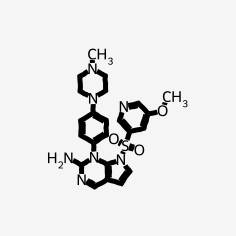 COc1cncc(S(=O)(=O)n2ccc3c2N(c2ccc(N4CCN(C)CC4)cc2)C(N)N=C3)c1